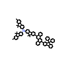 Cc1ccc2c(c1)C(C)(C)c1cc(N(c3ccc4c(c3)C(C)(C)c3cc(C)ccc3-4)c3ccc4c(c3)C(C)(C)c3cc(-c5cc6c7ccccc7c(-c7ccc8c(c7)C(c7ccccc7)(c7ccccc7)c7ccccc7-8)cc6c6ccccc56)ccc3-4)ccc1-2